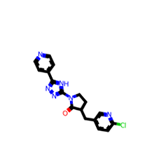 O=C1C(Cc2ccc(Cl)nc2)CCN1c1nnc(-c2ccncc2)[nH]1